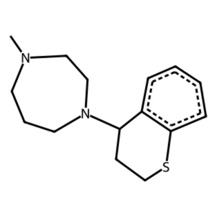 CN1CCCN(C2CCSc3ccccc32)CC1